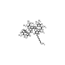 CCCCCCCCNC(=O)[C@H](C[S+]([O-])[C@@H](C)[C@H](NC(=O)CNC(=O)[C@@H](C)CS[C@@H](C)[C@@H](NC(C)=O)C(C)=O)C(=O)N[C@H](C(C)=O)C(C)C)NC(=O)[C@H](C)NC(=O)[C@H](C)NC(=O)[C@@H](C)C(C)CC